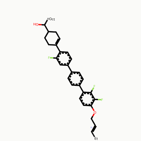 CC/C=C/COc1ccc(-c2ccc(-c3ccc(C4=CCC(C(O)CCCCCCCC)CC4)c(F)c3)cc2)c(F)c1F